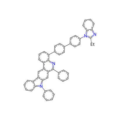 CCc1nc2ccccc2n1-c1ccc(-c2ccc(-c3cccc4c3nc(-c3ccccc3)c3cc5c(cc34)c3ccccc3n5-c3ccccc3)cc2)cc1